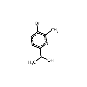 Cc1nc(C(C)O)ccc1Br